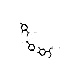 O=NC(=O)C1CCOc2cc(Oc3ccc(C(=O)NCC(O)c4ccc(I)cc4I)cc3)c(Cl)cc21